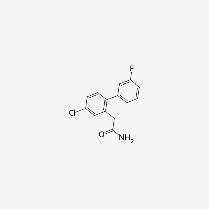 NC(=O)Cc1cc(Cl)ccc1-c1cccc(F)c1